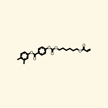 C=CC(=O)OCCCCCCOC(=O)Oc1ccc(C(=O)Oc2ccc(C)c(C)c2)cc1